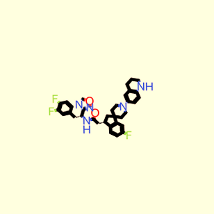 O=C(C[C@@H]1CC2(CCN(c3ccc4c(c3)CCCN4)CC2)c2cc(F)ccc21)N[C@H](Cc1ccc(F)c(F)c1)c1ncon1